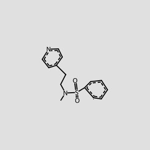 CN(CCc1ccncc1)S(=O)(=O)c1[c]cccc1